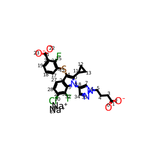 O=C([O-])CCCn1cc(-n2c(C3CC3)c(Sc3cccc(C(=O)[O-])c3F)c3ccc(Cl)c(F)c32)cn1.[Na+].[Na+]